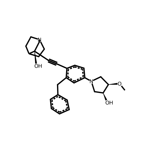 CO[C@@H]1CN(c2ccc(C#C[C@@]3(O)CN4CCC3CC4)c(Cc3ccccc3)c2)C[C@@H]1O